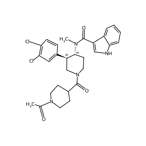 CC(=O)N1CCC(C(=O)N2CC[C@@H](N(C)C(=O)c3c[nH]c4ccccc34)[C@H](c3ccc(Cl)c(Cl)c3)C2)CC1